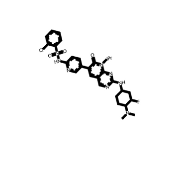 CC(C)n1c(=O)c(-c2ccc(NS(=O)(=O)c3ccccc3Cl)nc2)cc2cnc(NC3CCC(N(C)C)C(F)C3)nc21